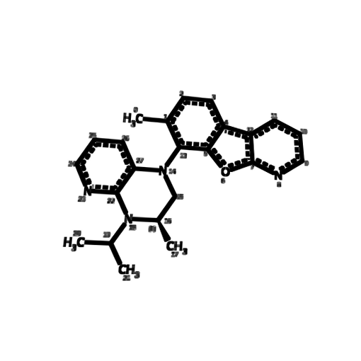 Cc1ccc2c(oc3ncccc32)c1N1C[C@@H](C)N(C(C)C)c2ncccc21